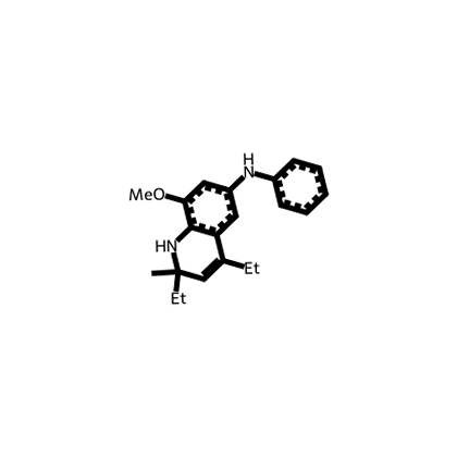 CCC1=CC(C)(CC)Nc2c(OC)cc(Nc3ccccc3)cc21